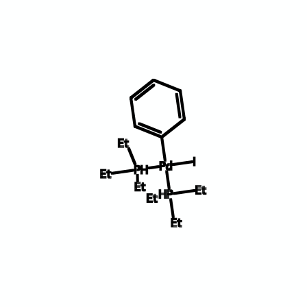 CC[PH](CC)(CC)[Pd]([I])([c]1ccccc1)[PH](CC)(CC)CC